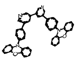 c1ccc2c(c1)Oc1ccccc1N2c1ccc(-c2cncc(-c3cncc(-c4ccc(N5c6ccccc6Oc6ccccc65)cc4)c3)c2)cc1